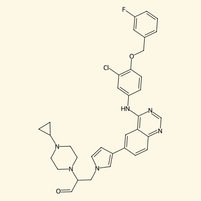 O=CC(Cn1ccc(-c2ccc3ncnc(Nc4ccc(OCc5cccc(F)c5)c(Cl)c4)c3c2)c1)N1CCN(C2CC2)CC1